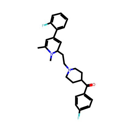 CC1=CC(c2ccccc2F)=CC(CCN2CCC(C(=O)c3ccc(F)cc3)CC2)N1C